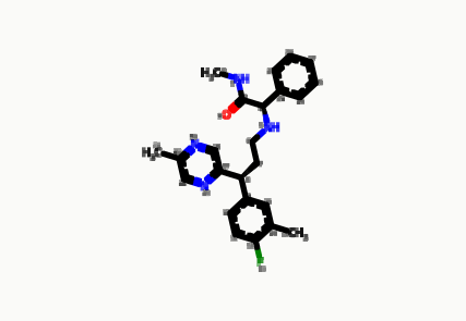 CNC(=O)[C@H](NCC[C@@H](c1ccc(F)c(C)c1)c1cnc(C)cn1)c1ccccc1